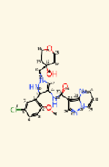 COc1ccc(Cl)cc1C1NN(CC2(O)CCOCC2)C=C1NC(=O)c1cnn2cccnc12